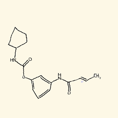 C/C=C/C(=O)Nc1cccc(OC(=O)NC2CCCCC2)c1